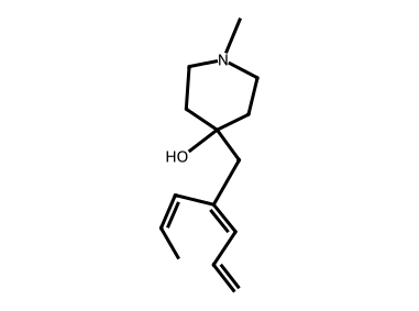 C=C/C=C(\C=C/C)CC1(O)CCN(C)CC1